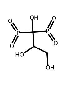 O=P(=O)C(O)(C(O)CO)P(=O)=O